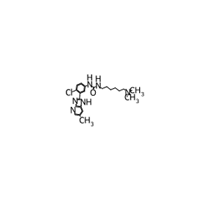 Cc1cnc2nc(-c3cc(NC(=O)NCCCCCCN(C)C)ccc3Cl)[nH]c2c1